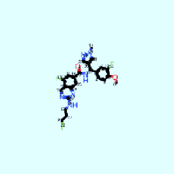 COc1ccc([C@H](NC(=O)c2cc(F)c3cnc(NCCCF)nc3c2)c2cnn(C)c2)cc1F